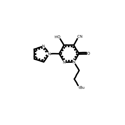 CC(C)(C)CCn1nc(-n2cccn2)c(O)c(C#N)c1=O